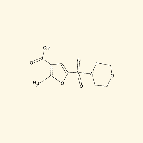 Cc1oc(S(=O)(=O)N2CCOCC2)cc1C(=O)O